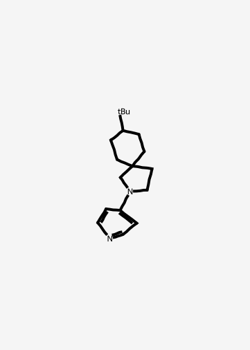 CC(C)(C)C1CCC2(CC1)CCN(c1ccncc1)C2